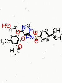 COc1cc(C)ccc1Oc1c(NS(=O)(=O)c2ccc(C(C)C)cc2)ncnc1OCCO